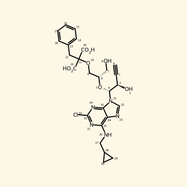 C#C[C@@H](O)[C@@H](O[C@@H](CO)COC(Cc1ccccc1)(C(=O)O)C(=O)O)n1cnc2c(NCC3CC3)nc(Cl)nc21